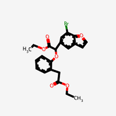 CCOC(=O)Cc1ccccc1OC(C(=O)OCC)c1cc(Br)c2occc2c1